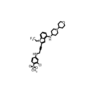 CS(=O)(=O)c1ccc(NCC#Cc2cc3c(NC4CCN(C5CCOCC5)CC4)cccc3n2CC(F)(F)F)cc1Cl